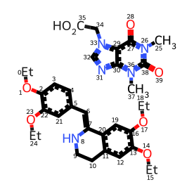 CCOc1ccc(C=C2NCCc3cc(OCC)c(OCC)cc32)cc1OCC.Cn1c(=O)c2c(ncn2CC(=O)O)n(C)c1=O